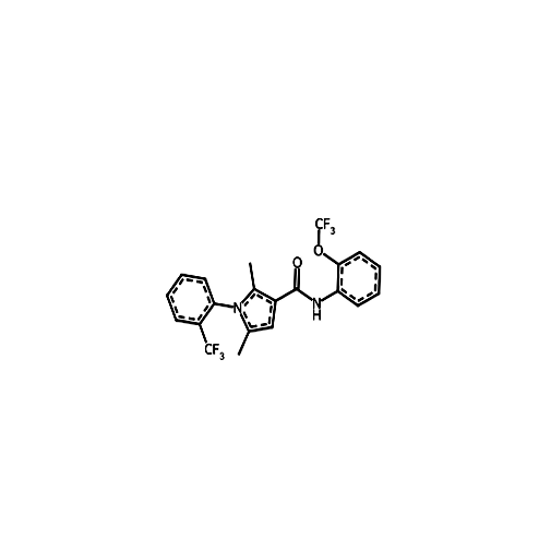 Cc1cc(C(=O)Nc2ccccc2OC(F)(F)F)c(C)n1-c1ccccc1C(F)(F)F